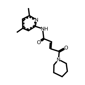 Cc1cc(C)nc(NC(=O)C=CC(=O)N2CCCCC2)c1